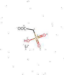 O=C([O-])CS(=O)(=O)O.[Li+]